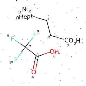 CCCCCCCCCC(=O)O.O=C(O)C(F)(F)F.[Ni]